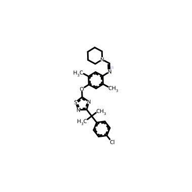 Cc1cc(Oc2nc(C(C)(C)c3ccc(Cl)cc3)ns2)c(C)cc1/N=C\N1CCCCC1